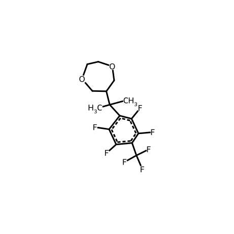 CC(C)(c1c(F)c(F)c(C(F)(F)F)c(F)c1F)C1COCCOC1